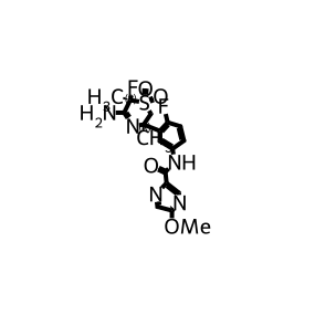 COc1cnc(C(=O)Nc2ccc(F)c([C@]3(C)CS(=O)(=O)[C@](C)(F)C(N)=N3)c2)cn1